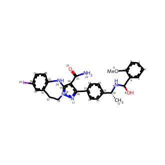 COc1ccccc1C(O)N[C@H](C)c1ccc(-c2nn3c(c2C(N)=O)Nc2ccc(I)cc2CC3)cc1